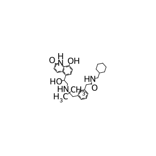 CC(C)(Cc1cccc(CC(=O)NCC2CCCCC2)c1)NC[C@@H](O)c1ccc(O)c2[nH]c(=O)ccc12